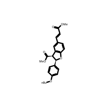 CCCCOc1ccc([C@@H]2Oc3ccc(/C=C/C(=O)OC)cc3[C@@H]2C(=O)OC)cc1